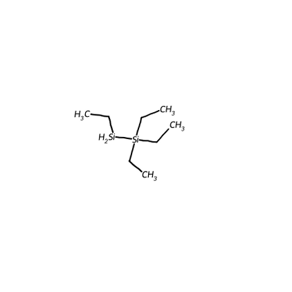 CC[SiH2][Si](CC)(CC)CC